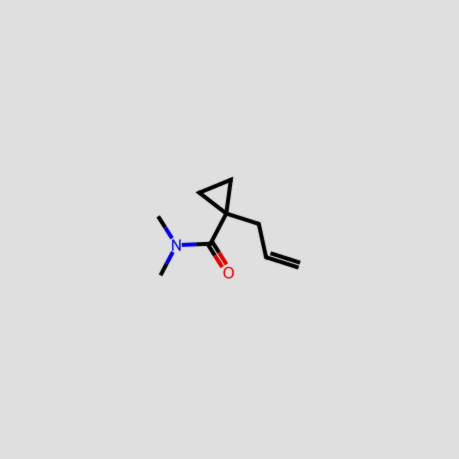 C=CCC1(C(=O)N(C)C)CC1